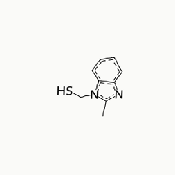 Cc1nc2ccccc2n1CS